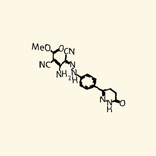 COC(=O)C(C#N)=C(N)C(C#N)=NNc1ccc(C2=NNC(=O)CC2)cc1